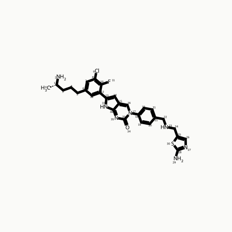 C[C@H](N)CCCc1cc(Cl)c(F)c(-c2cc3cn(-c4ccc(CNCc5cnc(N)s5)cc4)c(=O)nc3[nH]2)c1